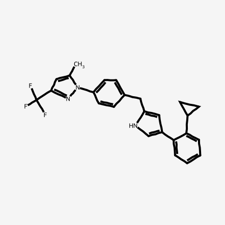 Cc1cc(C(F)(F)F)nn1-c1ccc(Cc2cc(-c3ccccc3C3CC3)c[nH]2)cc1